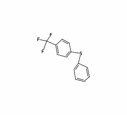 FC(F)(F)c1ccc(Sc2cc[c]cc2)cc1